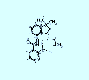 CCC[C@H]1CC(C)(C)c2cccc(NC(=O)c3cccnc3C(F)F)c21